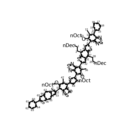 CCCCCCCCCCCCc1c2cc(-c3c(OCCCCCCCC)c(C)c(-c4ccccc4)c4nsnc34)sc2c(CCCCCCCCCCCC)c2cc(-c3c(C)c(OCCCCCCCC)c(-c4ccc(-c5c(C)c(OCCCCCCCC)c(-c6cc7cc8sc(-c9ccccc9)cc8cc7s6)c6nsnc56)s4)c4nsnc34)sc12